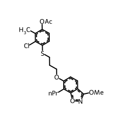 CCCc1c(OCCCSc2ccc(OC(C)=O)c(C)c2Cl)ccc2c(OC)noc12